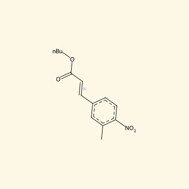 CCCCOC(=O)/C=C/c1ccc([N+](=O)[O-])c(C)c1